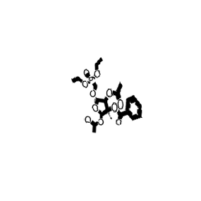 CCOP(=O)(CO[C@H]1OC(OC(C)=O)[C@](C)(OC(=O)c2ccccc2)C1OC(C)=O)OCC